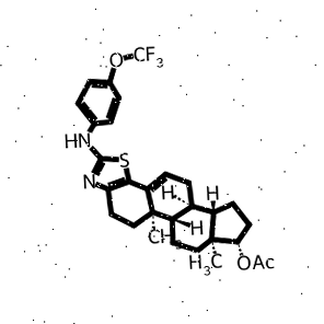 CC(=O)O[C@H]1CC[C@H]2[C@@H]3CC=C4c5sc(Nc6ccc(OC(F)(F)F)cc6)nc5CC[C@]4(C)[C@H]3CC[C@]12C